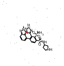 Cn1nc2cccc(-c3ccc(S(=O)(=O)NC4CCNC4)c(S(N)(=O)=O)c3-c3nn[nH]n3)c2n1